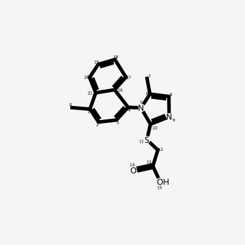 Cc1ccc(-n2c(C)cnc2SCC(=O)O)c2ccccc12